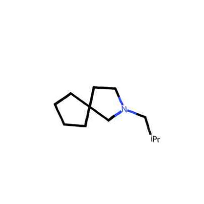 CC(C)CN1CCC2(CCCC2)C1